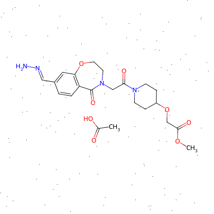 CC(=O)O.COC(=O)COC1CCN(C(=O)CN2CCOc3cc(C=NN)ccc3C2=O)CC1